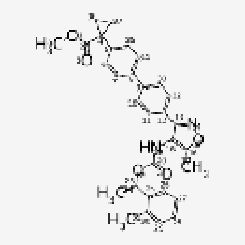 COC(=O)C1(c2ccc(-c3ccc(-c4noc(C)c4NC(=O)O[C@H](C)c4ccccc4C)cc3)cc2)CC1